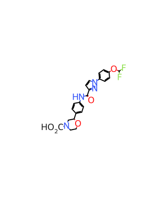 O=C(Nc1ccc(C2CN(C(=O)O)CCO2)cc1)c1ccn(-c2ccc(OC(F)F)cc2)n1